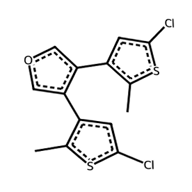 Cc1sc(Cl)cc1-c1cocc1-c1cc(Cl)sc1C